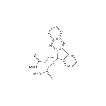 COC(=O)CCC1(CCC(=O)OC)c2ccccc2-c2nc3ccccc3nc21